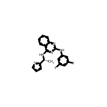 C[C@@H](Nc1nc(Nc2cc(F)cc(F)c2)nc2ccccc12)c1cccs1